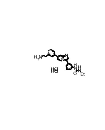 CCNC(=O)Nc1cccc(-c2cnc3cc(-c4cccc(CCN)c4)ccn23)c1.Cl.Cl